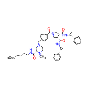 CCCCCCCCCCCCCCNC(=O)[C@@H]1CN(Cc2ccc(C(=O)N3C[C@@H](C(=O)N[C@H]4C[C@@H]4c4ccccc4)[C@H](C(=O)N[C@H]4C[C@@H]4c4ccccc4)C3)cc2)CCN1C